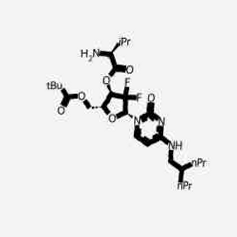 CCCC(CCC)CNc1ccn([C@@H]2O[C@H](COC(=O)C(C)(C)C)[C@@H](OC(=O)[C@@H](N)C(C)C)C2(F)F)c(=O)n1